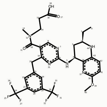 CC[C@@H]1C[C@H](Nc2ncc(C(=O)N(C)CCC(=O)O)c(Cc3cc(C(F)(F)F)cc(C(F)(F)F)c3)n2)c2nc(OC)ccc2N1